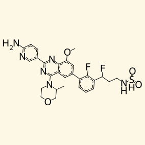 COc1cc(-c2cccc(C(F)CCN[SH](=O)=O)c2F)cc2c(N3CCOCC3C)nc(-c3ccc(N)nc3)nc12